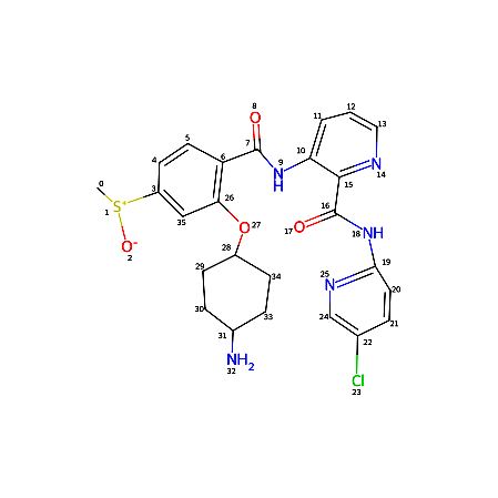 C[S+]([O-])c1ccc(C(=O)Nc2cccnc2C(=O)Nc2ccc(Cl)cn2)c(OC2CCC(N)CC2)c1